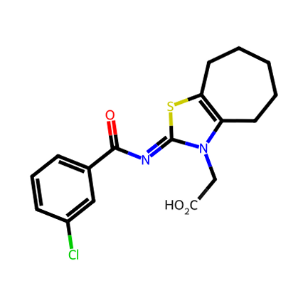 O=C(O)Cn1c2c(sc1=NC(=O)c1cccc(Cl)c1)CCCCC2